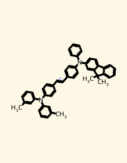 Cc1cccc(N(c2ccc(/C=C/c3ccc(N(c4ccccc4)c4ccc5c(c4)C(C)(C)c4ccccc4-5)cc3)cc2)c2cccc(C)c2)c1